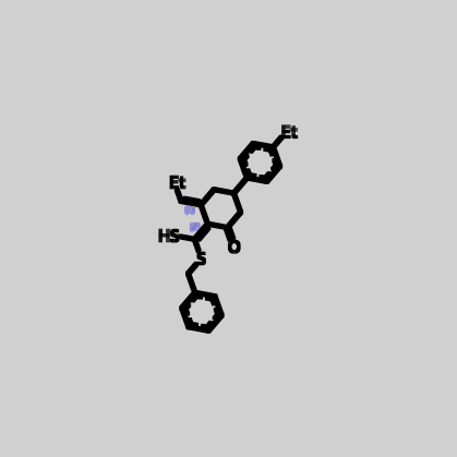 CC/C=C1\CC(c2ccc(CC)cc2)CC(=O)\C1=C(\S)SCc1ccccc1